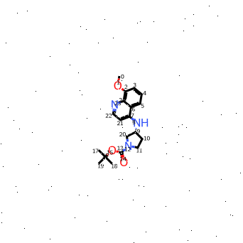 COc1cccc2c(N[C@@H]3CCN(C(=O)OC(C)(C)C)C3)ccnc12